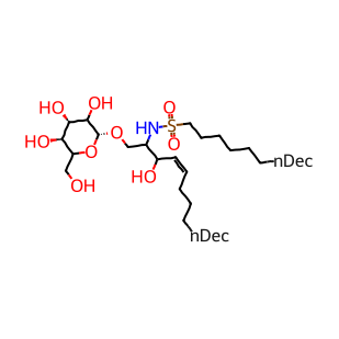 CCCCCCCCCCCCC/C=C\C(O)C(CO[C@@H]1OC(CO)[C@@H](O)[C@@H](O)C1O)NS(=O)(=O)CCCCCCCCCCCCCCCC